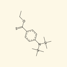 CCOC(=S)c1ccc(N([Si](C)(C)C)[Si](C)(C)C)cc1